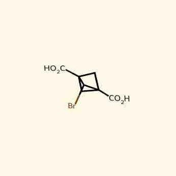 O=C(O)C12CC(C(=O)O)(C1)C2Br